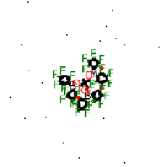 CC(COB(c1c(F)c(F)c(F)c(F)c1F)c1c(F)c(F)c(F)c(F)c1F)(COB(c1c(F)c(F)c(F)c(F)c1F)c1c(F)c(F)c(F)c(F)c1F)COB(c1c(F)c(F)c(F)c(F)c1F)c1c(F)c(F)c(F)c(F)c1F